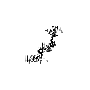 CN(CC(=O)OC(C)(C)C)Cc1cccc(Nc2ncnc(-c3ccnc(CCCNC(=O)OC(C)(C)C)c3)n2)c1